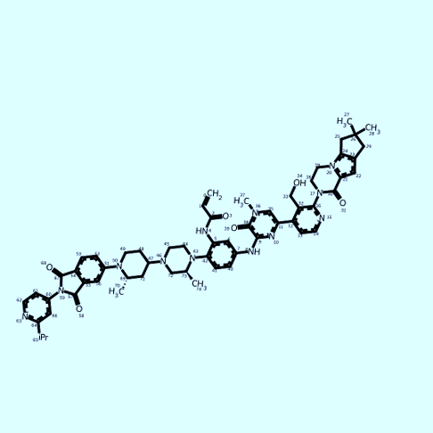 C=CC(=O)Nc1cc(Nc2nc(-c3ccnc(N4CCn5c(cc6c5CC(C)(C)C6)C4=O)c3CO)cn(C)c2=O)ccc1N1CCN(C2CCN(c3ccc4c(c3)C(=O)N(c3ccnc(C(C)C)c3)C4=O)[C@@H](C)C2)C[C@@H]1C